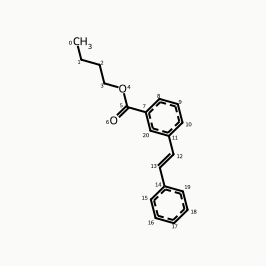 CCCCOC(=O)c1cccc(C=Cc2ccccc2)c1